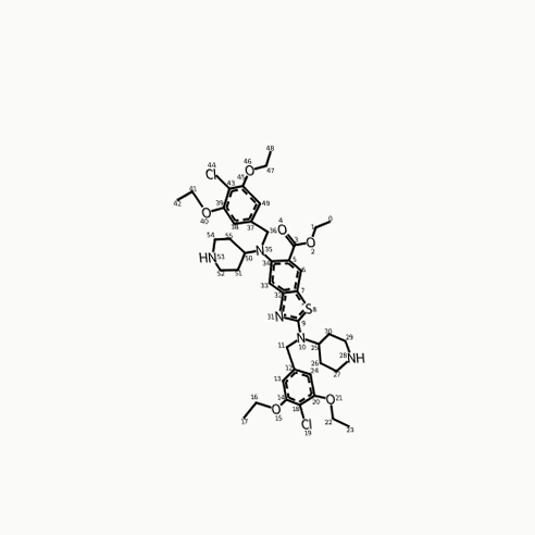 CCOC(=O)c1cc2sc(N(Cc3cc(OCC)c(Cl)c(OCC)c3)C3CCNCC3)nc2cc1N(Cc1cc(OCC)c(Cl)c(OCC)c1)C1CCNCC1